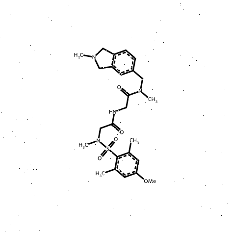 COc1cc(C)c(S(=O)(=O)N(C)CC(=O)NCC(=O)N(C)Cc2ccc3c(c2)CN(C)C3)c(C)c1